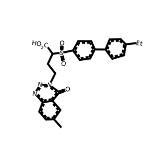 CCc1ccc(-c2ccc(S(=O)(=O)C(CCn3nnc4ccc(C)cc4c3=O)C(=O)O)cc2)cc1